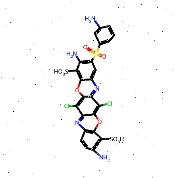 Nc1cccc(S(=O)(=O)c2cc3c(c(S(=O)(=O)O)c2N)Oc2c(Cl)c4c(c(Cl)c2=N3)Oc2c(ccc(N)c2S(=O)(=O)O)N=4)c1